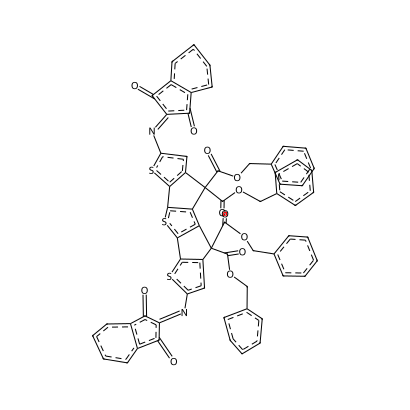 O=C(OCc1ccccc1)C1(C(=O)OCc2ccccc2)c2cc(N=c3c(=O)c4ccccc4c3=O)sc2-c2sc3c(c21)C(C(=O)OCc1ccccc1)(C(=O)OCc1ccccc1)c1cc(N=c2c(=O)c4ccccc4c2=O)sc1-3